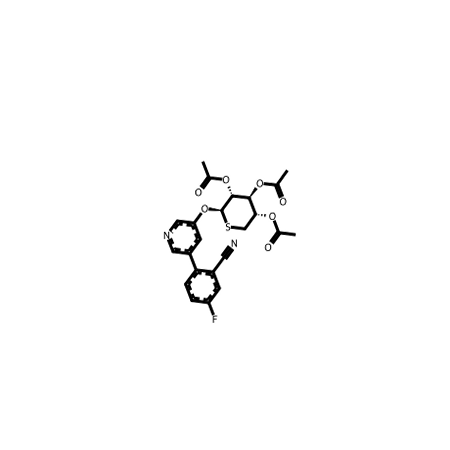 CC(=O)O[C@@H]1[C@@H](OC(C)=O)[C@H](OC(C)=O)CS[C@H]1Oc1cncc(-c2ccc(F)cc2C#N)c1